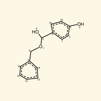 Oc1ccc(C(O)OCc2ccccc2)cc1